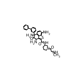 CNCC(=O)N1CCCC(NC(=O)c2sc3c(N)ccc4c3c2C(N)C(=O)C4(N)c2cccc(-c3ccccc3)c2)C1